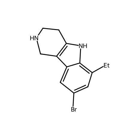 CCc1cc(Br)cc2c3c([nH]c12)CCNC3